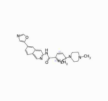 C=C(/C=C\C(=C/C)C(=O)Nc1cc2cc(-c3cnco3)ccc2cn1)N1CCN(C)CC1